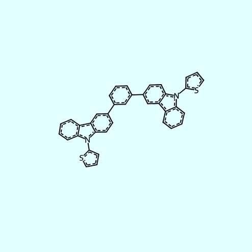 c1cc(-c2ccc3c(c2)c2ccccc2n3-c2cccs2)cc(-c2ccc3c(c2)c2ccccc2n3-c2cccs2)c1